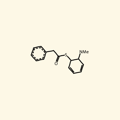 CNC1C=CC=CC1SC(=O)Cc1ccccc1